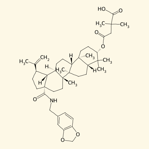 C=C(C)[C@@H]1CC[C@]2(C(=O)NCc3ccc4c(c3)OCO4)CC[C@]3(C)[C@H](CC[C@@H]4[C@@]5(C)CC[C@H](OC(=O)CC(C)(C)C(=O)O)C(C)(C)[C@@H]5CC[C@]43C)[C@@H]12